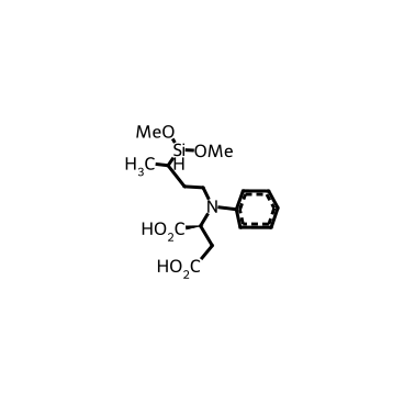 CO[SiH](OC)C(C)CCN(c1ccccc1)[C@@H](CC(=O)O)C(=O)O